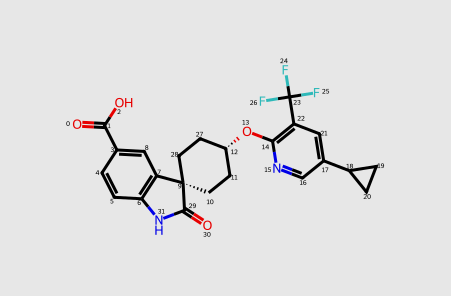 O=C(O)c1ccc2c(c1)[C@]1(CC[C@@H](Oc3ncc(C4CC4)cc3C(F)(F)F)CC1)C(=O)N2